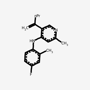 C=C(CCC)c1cnc(C)cc1Nc1ccc(F)cc1C